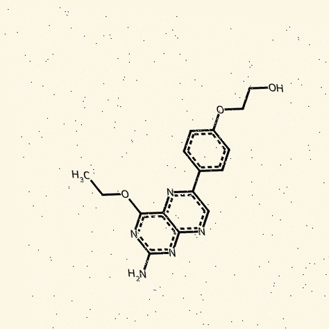 CCOc1nc(N)nc2ncc(-c3ccc(OCCO)cc3)nc12